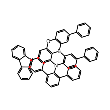 c1ccc(-c2ccc3c(c2)B2c4cc(-c5ccccc5)ccc4N(c4c(-c5ccccc5)cccc4-c4ccccc4)c4cc(-n5c6ccccc6c6ccccc65)cc(c42)O3)cc1